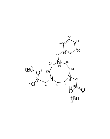 CC(C)(C)OC(=O)CN1CCN(CC(=O)OC(C)(C)C)CCN(Cc2ccccc2)CC1